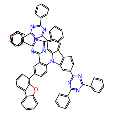 c1ccc(-c2nc(-c3ccccc3)nc(-c3ccc4c5ccc(-c6nc(-c7ccccc7)nc(-c7ccccc7)n6)cc5n(-c5ccc(-c6cccc7c6oc6ccccc67)cc5-c5nc(-c6ccccc6)nc(-c6ccccc6)n5)c4c3)n2)cc1